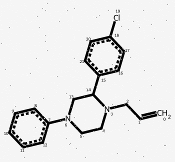 C=CCN1CCN(c2ccccc2)CC1c1ccc(Cl)cc1